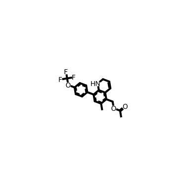 CC(=O)OCc1c(C)cc(-c2ccc(OC(F)(F)F)cc2)c2c1C=CCN2